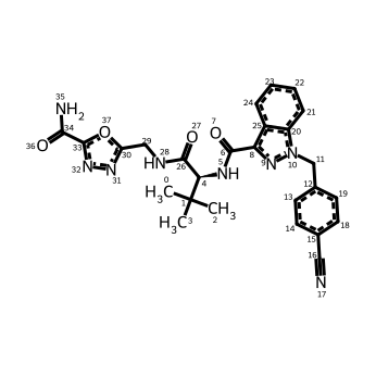 CC(C)(C)[C@H](NC(=O)c1nn(Cc2ccc(C#N)cc2)c2ccccc12)C(=O)NCc1nnc(C(N)=O)o1